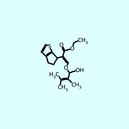 CCOC(=O)/C(=C/OC(O)C(C)=C(C)C)C1CCc2ccsc21